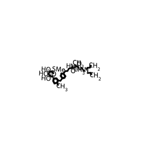 C=CCN(CC=C)CCNC(=O)C(C)(C)NC(=O)CCCc1ccc(Cc2cc([C@@H]3O[C@H](SC)[C@@H](O)[C@H](O)[C@H]3O)ccc2C)cc1